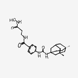 C[C@]12CC3CC(NC(=O)Nc4ccc(C(=O)NCCC(=O)NO)cc4)(C1)C[C@@](C)(C3)C2